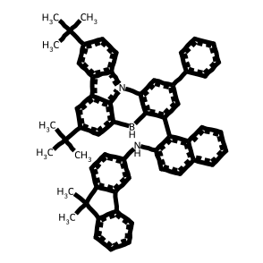 CC(C)(C)c1ccc2c(c1)c1cc(C(C)(C)C)cc3c1n2-c1cc(-c2ccccc2)cc(-c2c(Nc4ccc5c(c4)-c4ccccc4C5(C)C)ccc4ccccc24)c1B3